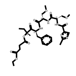 CCOC(=O)CCC(=O)O[C@](C)(CC)C(=O)[C@H](Cc1ccccc1)NC(=O)[C@H](COC)NC(=O)[C@H](COC)NC(=O)c1cnc(C)s1